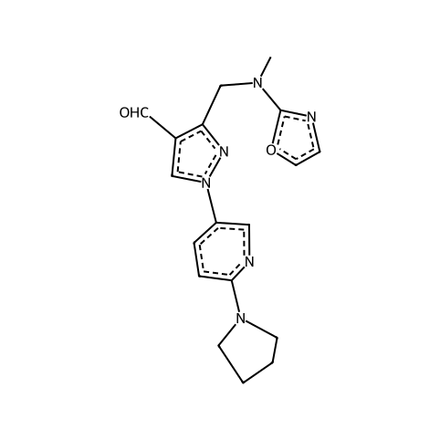 CN(Cc1nn(-c2ccc(N3CCCC3)nc2)cc1C=O)c1ncco1